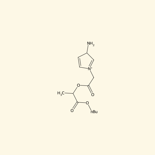 CCCCOC(=O)C(C)OC(=O)C[N+]1=CC(N)C=C1